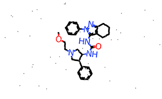 COCCN1CC(c2ccccc2)[C@H](NC(=O)Nc2c3c(nn2-c2ccccc2)CCCC3)C1